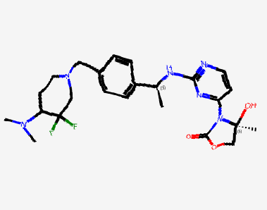 C[C@H](Nc1nccc(N2C(=O)OC[C@]2(C)O)n1)c1ccc(CN2CCC(N(C)C)C(F)(F)C2)cc1